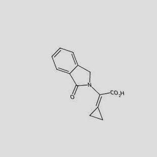 O=C(O)C(=C1CC1)N1Cc2ccccc2C1=O